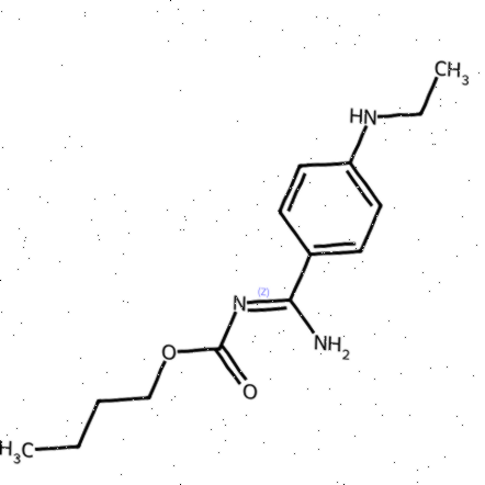 CCCCOC(=O)/N=C(\N)c1ccc(NCC)cc1